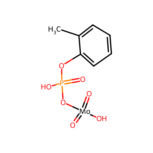 Cc1ccccc1OP(=O)(O)[O][Mo](=[O])(=[O])[OH]